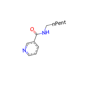 CCCCCCNC(=O)c1cccnc1